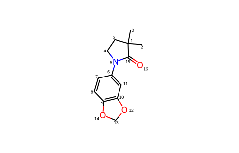 CC1(C)CCN(c2ccc3c(c2)OCO3)C1=O